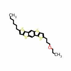 CCCCCCc1cc2sc3cc4c(cc3c2s1)sc1cc(CCCOCCC)sc14